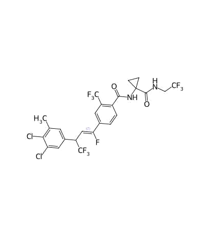 Cc1cc(C(/C=C(\F)c2ccc(C(=O)NC3(C(=O)NCC(F)(F)F)CC3)c(C(F)(F)F)c2)C(F)(F)F)cc(Cl)c1Cl